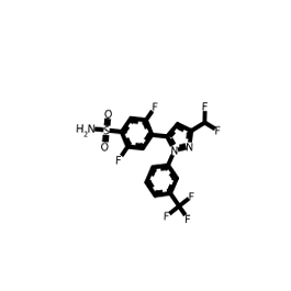 NS(=O)(=O)c1cc(F)c(-c2cc(C(F)F)nn2-c2cccc(C(F)(F)F)c2)cc1F